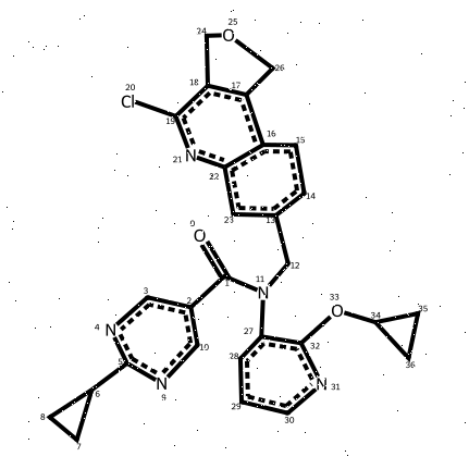 O=C(c1cnc(C2CC2)nc1)N(Cc1ccc2c3c(c(Cl)nc2c1)COC3)c1cccnc1OC1CC1